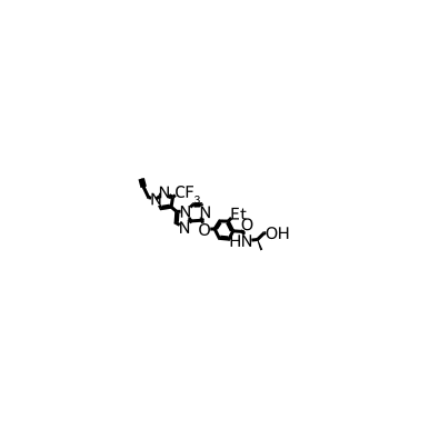 C#CCn1cc(-c2cnc3c(Oc4ccc(C(=O)N[C@H](C)CO)c(CC)c4)nccn23)c(C(F)(F)F)n1